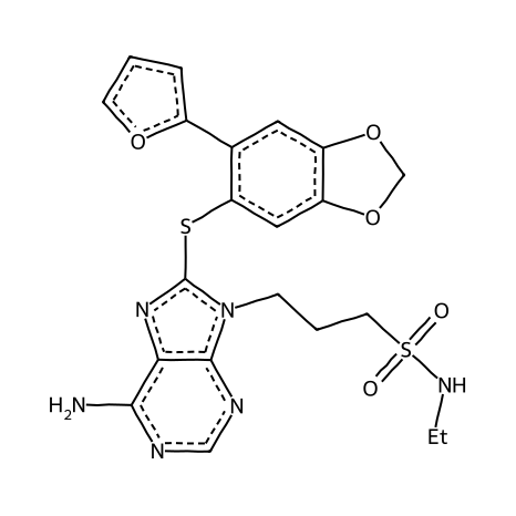 CCNS(=O)(=O)CCCn1c(Sc2cc3c(cc2-c2ccco2)OCO3)nc2c(N)ncnc21